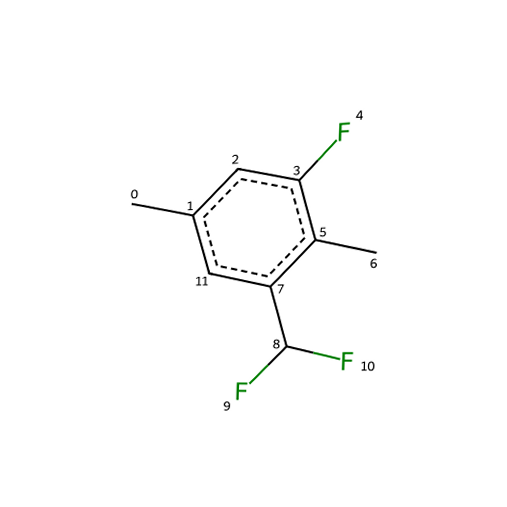 Cc1cc(F)c(C)c(C(F)F)c1